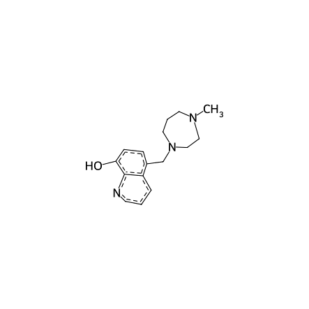 CN1CCCN(Cc2ccc(O)c3ncccc23)CC1